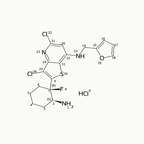 Cl.N[C@H]1CCCC[C@]1(F)c1sc2c(NCc3ccco3)cc(Cl)nc2c1Cl